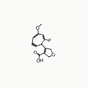 COC1=CC#CC(C2=C(C(=O)O)COC2)C(F)=C1